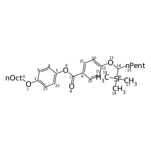 CCCCCCCCOc1ccc(OC(=O)c2ccc(OC(CCCCC)[Si](C)(C)C)cc2)cc1